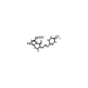 CC(=O)NC1=CNC2CC(F)C(CCOC3CCC(C(F)(F)F)CC3)C(F)C12